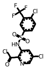 O=C(Cl)c1ncc(Cl)cc1NS(=O)(=O)c1ccc(Cl)c(C(F)(F)F)c1